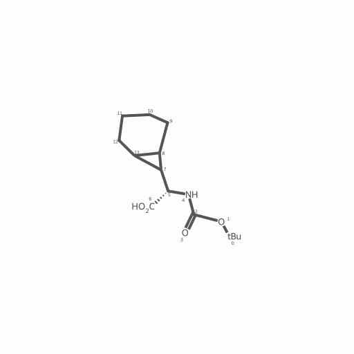 CC(C)(C)OC(=O)N[C@H](C(=O)O)C1C2CCCCC21